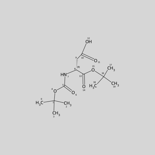 CC(C)(C)OC(=O)N[C@H](CC(=O)O)C(=O)OC(C)(C)C